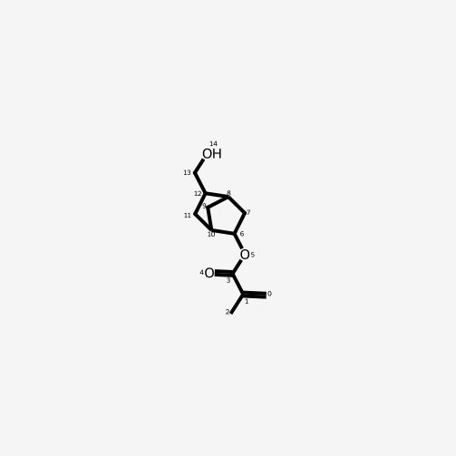 C=C(C)C(=O)OC1CC2CC1CC2CO